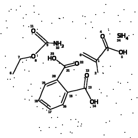 C=C(C)C(=O)O.CCOC(N)=O.O=C(O)c1ccccc1C(=O)O.[SiH4]